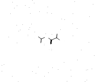 CC(O)C(=O)OC(C)C(=O)O.[KH]